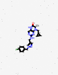 CC[C@H]1C(=O)Nc2cnc(NCc3cnn(Cc4ccc(F)cc4)c3)nc2N1CC1CC1